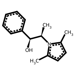 Cc1ccc(C)n1[C@H](C)[C@@H](O)c1ccccc1